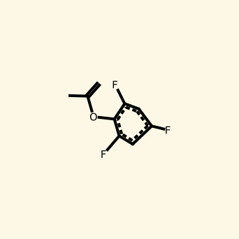 C=C(C)Oc1c(F)cc(F)cc1F